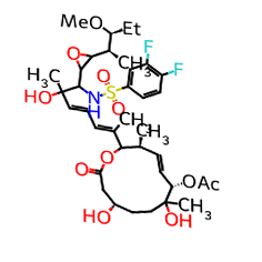 CC[C@H](OC)[C@@H](C)C1OC1C(NS(=O)(=O)c1ccc(F)c(F)c1)C(C)(O)/C=C/C=C(\C)C1OC(=O)C[C@H](O)CCC(C)(O)[C@@H](OC(C)=O)/C=C/[C@@H]1C